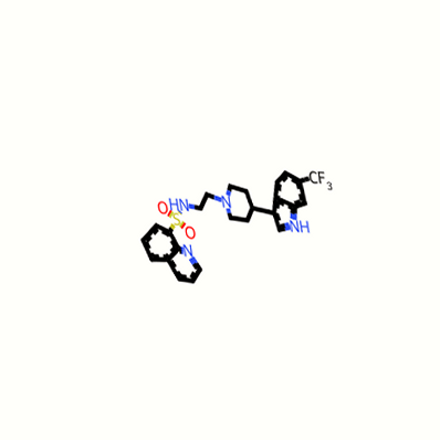 O=S(=O)(NCCN1CCC(c2c[nH]c3cc(C(F)(F)F)ccc23)CC1)c1cccc2cccnc12